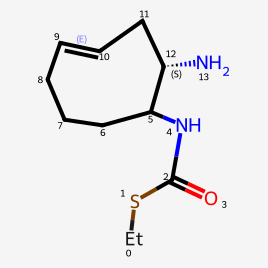 CCSC(=O)NC1CCC/C=C/C[C@@H]1N